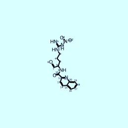 N=C(NCCCC(C=O)NC(=O)c1ccc2ccccc2n1)N[N+](=O)[O-]